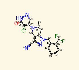 C[C@H]1Cc2c(c(C#N)nn2Cc2ccccc2C(F)F)CN1c1cn[nH]c(=O)c1Cl